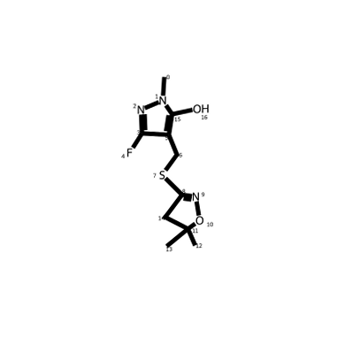 Cn1nc(F)c(CSC2=NOC(C)(C)C2)c1O